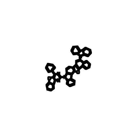 c1ccc(-c2nc(-n3c4ccccc4c4c5oc6c7ccccc7c(-n7c8ccccc8c8ccccc87)cc6c5ccc43)nc3c2oc2ccccc23)cc1